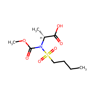 CCCCS(=O)(=O)N(C(=O)OC)[C@H](C)C(=O)O